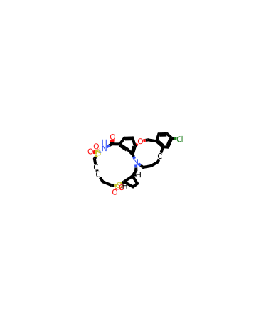 O=C1NS(=O)(=O)CCCCCS(=O)(=O)[C@@H]2CC[C@H]2CN2CCCCc3cc(Cl)ccc3COc3ccc1cc32